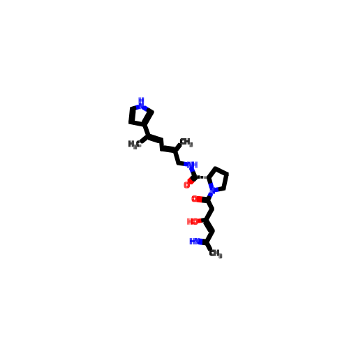 CC(=N)/C=C(\O)CC(=O)N1CCC[C@H]1C(=O)NC/C(C)=C/C=C(\C)c1cc[nH]c1